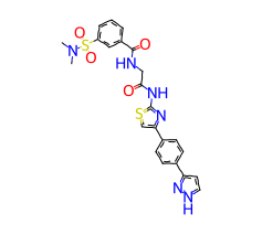 CN(C)S(=O)(=O)c1cccc(C(=O)NCC(=O)Nc2nc(-c3ccc(-c4cc[nH]n4)cc3)cs2)c1